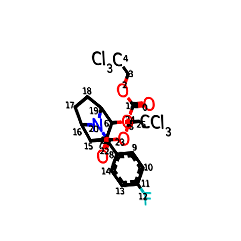 O=C(OCC(Cl)(Cl)Cl)OC1C(c2ccc(F)cc2)CC2CCC1N2C(=O)OCC(Cl)(Cl)Cl